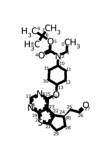 CCN(C(=O)OC(C)(C)C)C1CCC(Oc2ncnc3sc4c(c23)[C@@H](CC=O)CC4)CC1